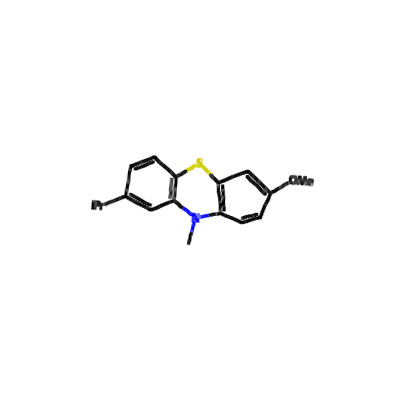 COc1ccc2c(c1)Sc1ccc(C(C)C)cc1N2C